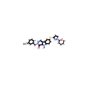 Cn1c2ccc(Sc3ccn(C4CCCCO4)n3)cc2c2cnn(Cc3cccc(C#N)c3)c(=O)c21